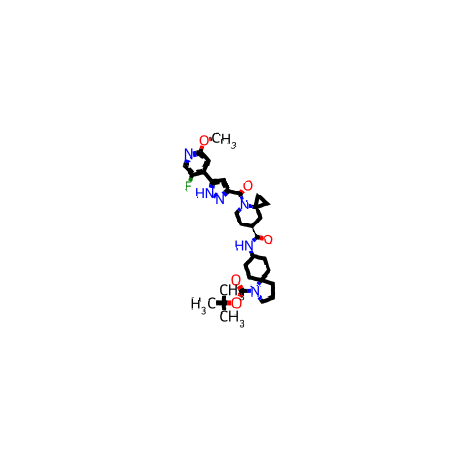 COc1cc(-c2cc(C(=O)N3CC[C@H](C(=O)NC4CCC5(CCCN5C(=O)OC(C)(C)C)CC4)CC34CC4)n[nH]2)c(F)cn1